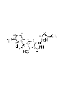 C[C@@H]1C2=C(CCN1C(=O)c1cccc(C(F)(F)F)c1Cl)N(c1ccn(C)n1)NN2